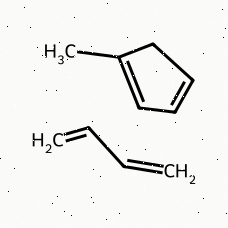 C=CC=C.CC1=CC=CC1